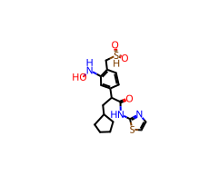 O=C(Nc1nccs1)C(CC1CCCC1)c1ccc(C[SH](=O)=O)c(NO)c1